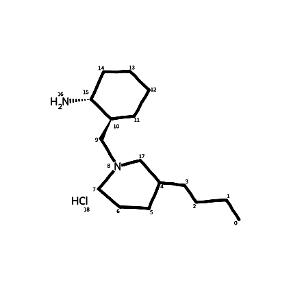 CCCCC1CCCN(C[C@@H]2CCCC[C@H]2N)C1.Cl